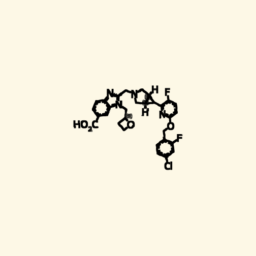 O=C(O)c1ccc2nc(CN3C[C@@H]4C(c5nc(OCc6ccc(Cl)cc6F)ccc5F)[C@@H]4C3)n(C[C@@H]3CCO3)c2c1